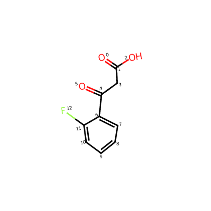 O=C(O)CC(=O)c1ccccc1F